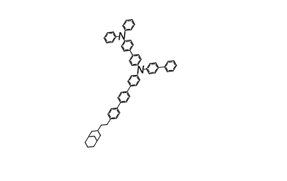 c1ccc(-c2ccc(N(c3ccc(-c4ccc(-c5ccc(CCC6CC7CCCC(C7)C6)cc5)cc4)cc3)c3ccc(-c4ccc(N(c5ccccc5)c5ccccc5)cc4)cc3)cc2)cc1